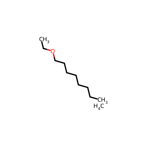 C.CCCCCCCCOCC